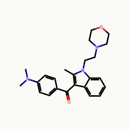 Cc1c(C(=O)c2ccc(N(C)C)cc2)c2ccccc2n1CCN1CCOCC1